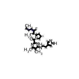 C=C(/C(F)=C\C=C/C)[C@H]1CCCN1C(=O)c1nc(C)c(C)c(NCCc2cn[nH]c2)n1